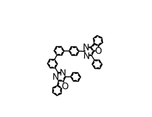 c1ccc(-c2nc(-c3ccc(-c4cccc(-c5cccc(-c6nc(-c7ccccc7)c7oc8ccccc8c7n6)c5)c4)cc3)nc3c2oc2ccccc23)cc1